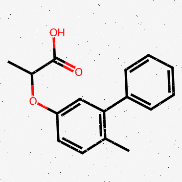 Cc1ccc(OC(C)C(=O)O)cc1-c1ccccc1